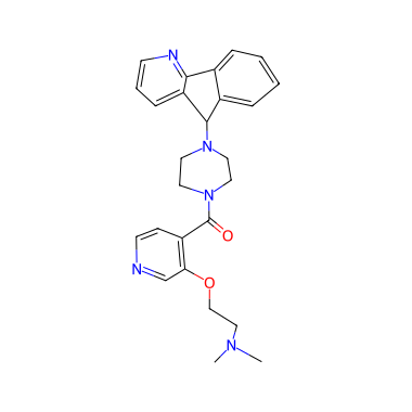 CN(C)CCOc1cnccc1C(=O)N1CCN(C2c3ccccc3-c3ncccc32)CC1